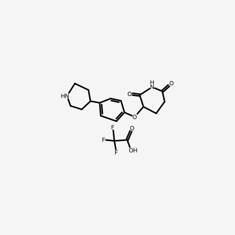 O=C(O)C(F)(F)F.O=C1CCC(Oc2ccc(C3CCNCC3)cc2)C(=O)N1